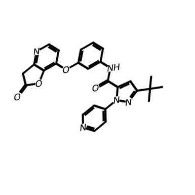 CC(C)(C)c1cc(C(=O)Nc2cccc(Oc3ccnc4c3OC(=O)C4)c2)n(-c2ccncc2)n1